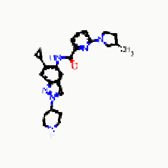 CC1CCN(c2cccc(C(=O)Nc3cc4cn(C5CCNCC5)nc4cc3C3CC3)n2)C1